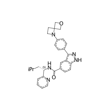 CC(C)C[C@H](NC(=O)c1ccc2[nH]nc(-c3ccc(N4CCC45COC5)cc3)c2c1)c1ccccn1